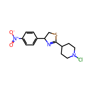 O=[N+]([O-])c1ccc(C2CSC(C3CCN(Cl)CC3)=N2)cc1